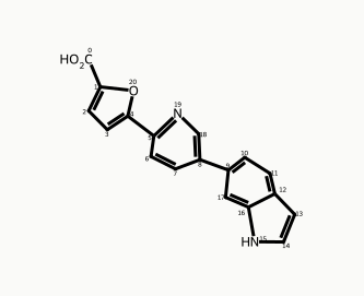 O=C(O)c1ccc(-c2ccc(-c3ccc4cc[nH]c4c3)cn2)o1